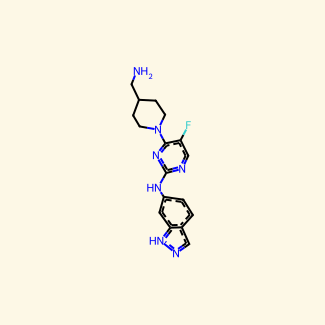 NCC1CCN(c2nc(Nc3ccc4cn[nH]c4c3)ncc2F)CC1